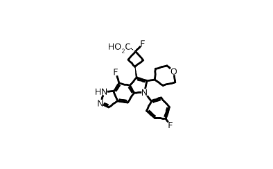 O=C(O)[C@]1(F)C[C@@H](c2c(C3CCOCC3)n(-c3ccc(F)cc3)c3cc4cn[nH]c4c(F)c32)C1